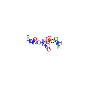 C[C@H]1COCCN1c1cc(C2(S(=O)(=O)c3ccc(NCCF)c(Cl)c3)CC2)nc(-c2ccc(NC(=O)NCCF)cc2)n1